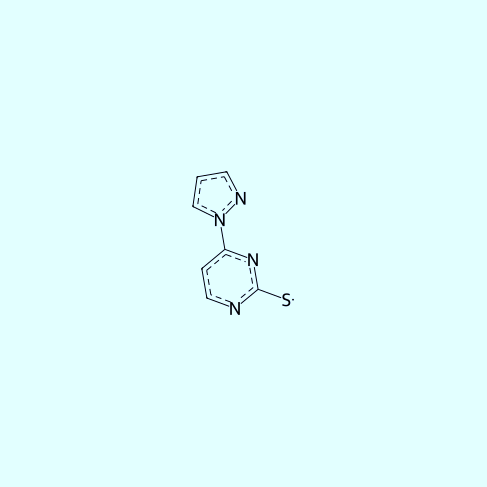 [S]c1nccc(-n2cccn2)n1